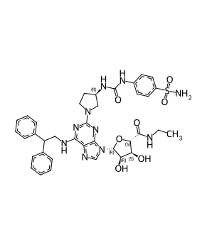 CCNC(=O)[C@H]1O[C@@H](n2cnc3c(NCC(c4ccccc4)c4ccccc4)nc(N4CC[C@@H](NC(=O)Nc5ccc(S(N)(=O)=O)cc5)C4)nc32)[C@H](O)[C@@H]1O